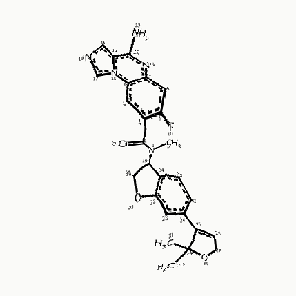 CN(C(=O)c1cc2c(cc1F)nc(N)c1cncn12)[C@@H]1COc2cc(C3=CCOC3(C)C)ccc21